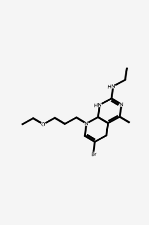 CCNC1=NC(C)=C2CC(Br)=CN(CCCOCC)C2N1